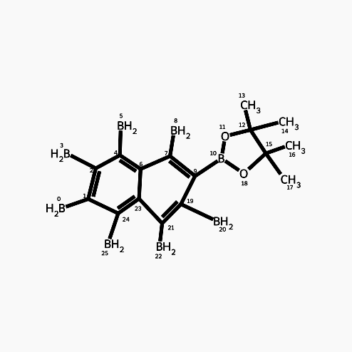 Bc1c(B)c(B)c2c(B)c(B3OC(C)(C)C(C)(C)O3)c(B)c(B)c2c1B